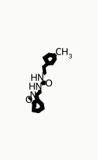 Cc1ccc(CCNC(=O)NCc2noc3ccccc23)cc1